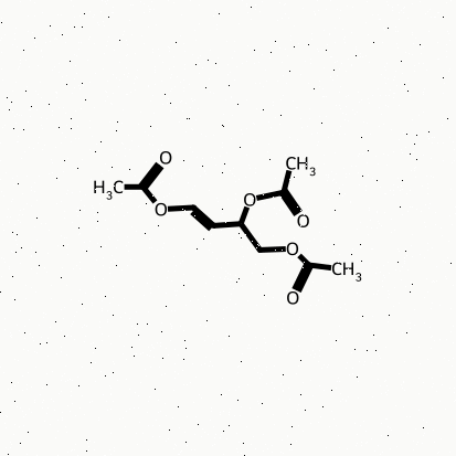 CC(=O)OC=CC(COC(C)=O)OC(C)=O